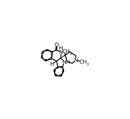 CN1CCC(C)([C@]23NC(=O)c4ccccc4[C@H]2c2ccccc2N3)CC1